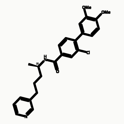 COc1ccc(-c2ccc(C(=O)N[C@H](C)CCCc3cccnc3)cc2Cl)cc1OC